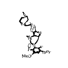 CCCc1cc(OC)c(F)c(N2Cc3cnc(N)c(OCCN4CCN(C)CC4)c3N(C)C2=O)c1F